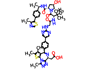 Cc1ncsc1-c1ccc([C@H](C)NC(=O)[C@@H]2C[C@@H](O)CN2C(=O)[C@@H](NC(=O)CNc2ncc(-c3ccc(C4=N[C@@H](CC(=O)O)c5nnc(C)n5-c5sc(C)c(C)c54)cc3)cn2)C(C)(C)C)cc1